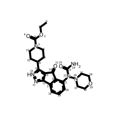 CCOC(=O)N1CCC(c2[nH]nc3c2C(=O)c2c-3cccc2N(C(N)=O)N2CCOCC2)CC1